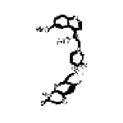 COc1ccc2nccc([C@@H](O)CN3CC[C@H](NCc4nc5c(cc4F)SCC(=O)N5)[C@H](F)C3)c2c1